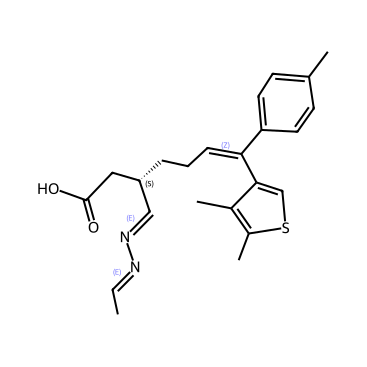 C/C=N/N=C/[C@@H](CC/C=C(/c1ccc(C)cc1)c1csc(C)c1C)CC(=O)O